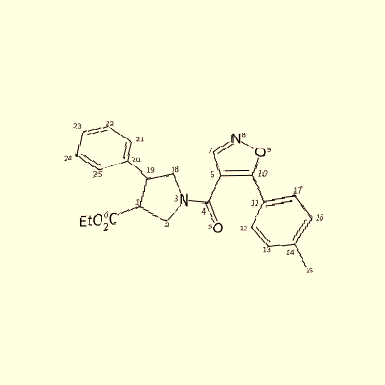 CCOC(=O)C1CN(C(=O)c2cnoc2-c2ccc(C)cc2)CC1c1ccccc1